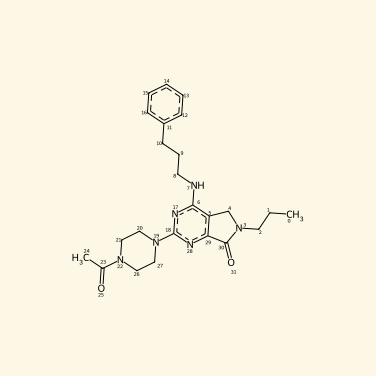 CCCN1Cc2c(NCCCc3ccccc3)nc(N3CCN(C(C)=O)CC3)nc2C1=O